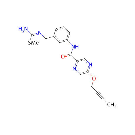 CC#CCOc1cnc(C(=O)Nc2cccc(C/N=C(/N)SC)c2)cn1